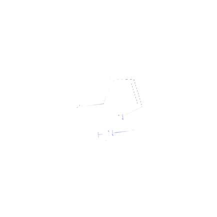 CC(C)c1nccs1.CN